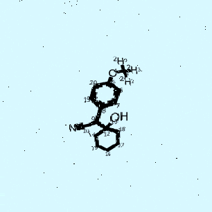 [2H]C([2H])([2H])Oc1ccc(C(C#N)C2(O)CCCCC2)cc1